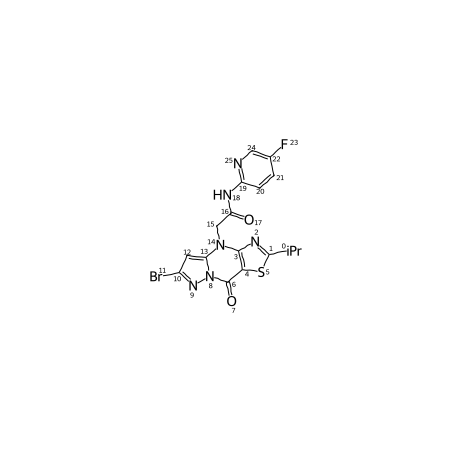 CC(C)c1nc2c(s1)c(=O)n1nc(Br)cc1n2CC(=O)Nc1ccc(F)cn1